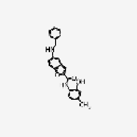 Cc1ccc(NC(=O)c2cc3cc(NCc4ccccc4)ccc3o2)c(O)c1